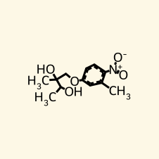 Cc1cc(OCC(C)(O)C(C)O)ccc1[N+](=O)[O-]